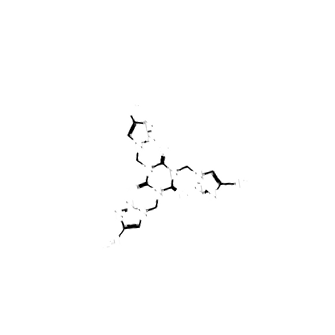 CC(C)c1cn(Cn2c(=O)n(Cn3cc(C(C)C)nn3)c(=O)n(Cn3cc(C(C)(C)C)nn3)c2=O)nn1